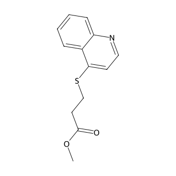 COC(=O)CCSc1ccnc2ccccc12